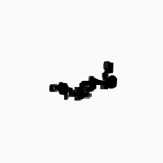 Fc1cc(Cl)ccc1COc1ncc(F)c(N2CCC3(CC2)CC3c2nc3ccccc3n2C[C@@H]2CCO2)n1